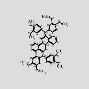 CCc1ccc(N(c2ccc(CC)c(CC)c2)c2cc3c4ccccc4c(N(c4ccc(CC)c(CC)c4)c4ccc(CC)c(CC)c4)cc3c3ccccc23)cc1CC